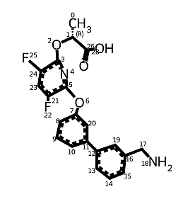 C[C@@H](Oc1nc(Oc2cccc(-c3cccc(CN)c3)c2)c(F)cc1F)C(=O)O